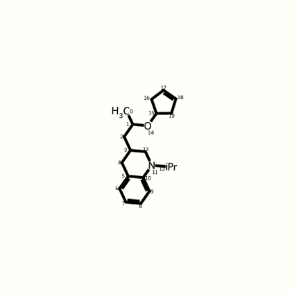 CC(CC1Cc2ccccc2N(C(C)C)C1)OC1CC=CC1